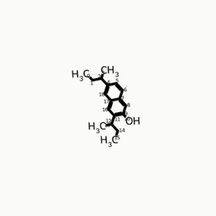 CCC(C)c1ccc2cc(O)c(C(C)CC)cc2c1